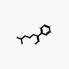 [CH2]C=C(CCCC(C)C)c1ccccc1